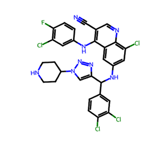 N#Cc1cnc2c(Cl)cc(NC(c3ccc(Cl)c(Cl)c3)c3cn(C4CCNCC4)nn3)cc2c1Nc1ccc(F)c(Cl)c1